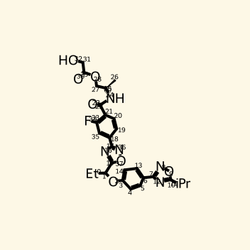 CCC(Oc1ccc(-c2noc(C(C)C)n2)cc1)c1nc(-c2ccc(C(=O)N[C@H](C)COC(=O)CO)c(F)c2)no1